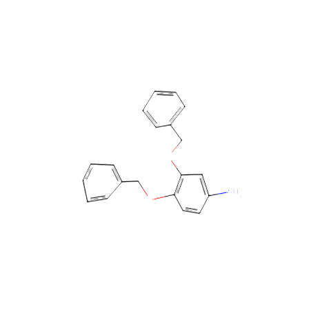 Nc1ccc(OCc2ccccc2)c(OCc2ccccc2)c1